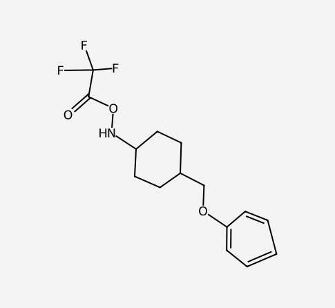 O=C(ONC1CCC(COc2ccccc2)CC1)C(F)(F)F